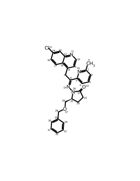 Cc1cccc(/C(Cc2ccnc3cc(Cl)ccc23)=N\N2C(=O)CC[C@H]2COCc2ccccc2)n1